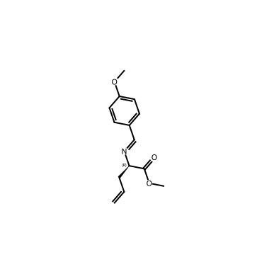 C=CC[C@@H](N=Cc1ccc(OC)cc1)C(=O)OC